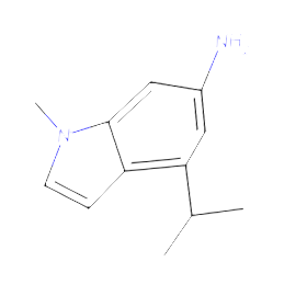 CC(C)c1cc(N)cc2c1ccn2C